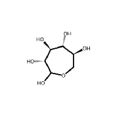 OC1OC[C@H](O)[C@@H](O)[C@H](O)[C@H]1O